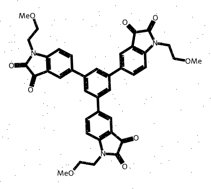 COCCN1C(=O)C(=O)c2cc(-c3cc(-c4ccc5c(c4)C(=O)C(=O)N5CCOC)cc(-c4ccc5c(c4)C(=O)C(=O)N5CCOC)c3)ccc21